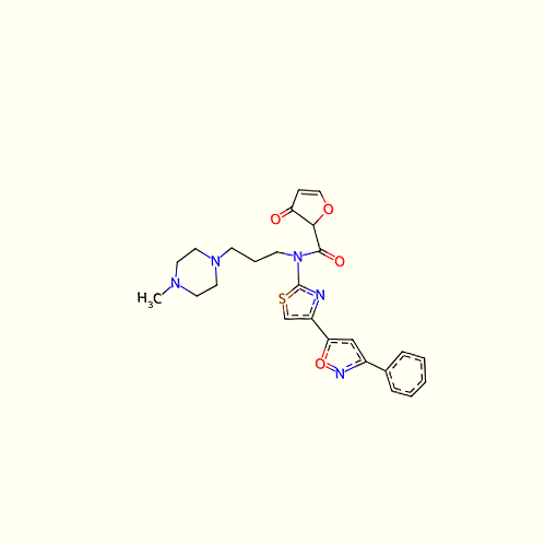 CN1CCN(CCCN(C(=O)C2OC=CC2=O)c2nc(-c3cc(-c4ccccc4)no3)cs2)CC1